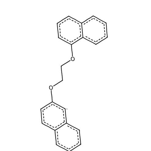 [c]1c(OCCOc2cccc3ccccc23)ccc2ccccc12